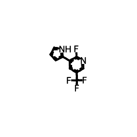 Fc1ncc(C(F)(F)F)cc1-c1ccc[nH]1